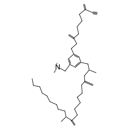 C#CC(=C)CCCCC(=C)CCc1cc(CC(C)CC(=C)CCCCCCC(=C)C(C)CCCCCCCCC)cc(CN(C)C)c1